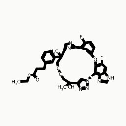 CCOC(=O)CCc1cccc(C2(C)CCCCC(C)(C)c3cn(nn3)Cc3c(c(F)cc4[nH]cnc34)Oc3ccc(F)c(c3)-c3ncc2[nH]3)c1